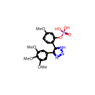 COc1ccc(-c2[nH]nnc2-c2cc(OC)c(OC)c(OC)c2)c(OP(=O)(O)O)c1